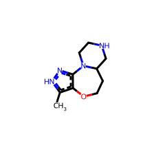 Cc1[nH]nc2c1OCCC1CNCCN21